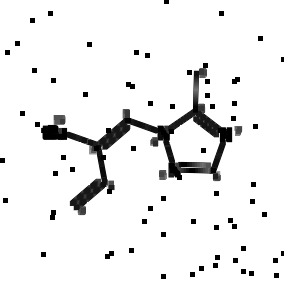 C=C/C(=C\n1ncnc1C)C(C)(C)C